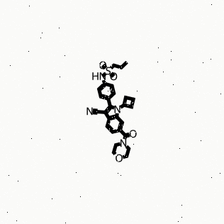 CCCS(=O)(=O)Nc1ccc(-c2c(C#N)c3ccc(C(=O)N4CCOCC4)cc3n2C2CCC2)cc1